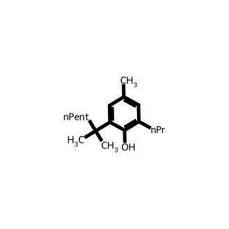 CCCCCC(C)(C)c1cc(C)cc(CCC)c1O